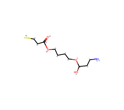 NCCC(O)OCCCCOC(=O)CCS